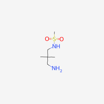 CC(C)(CN)CNS(C)(=O)=O